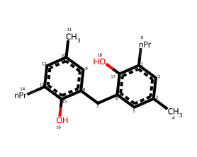 CCCc1cc(C)cc(Cc2cc(C)cc(CCC)c2O)c1O